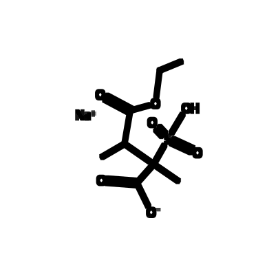 CCOC(=O)C(C)C(C)(C(=O)[O-])S(=O)(=O)O.[Na+]